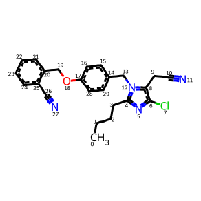 CCCCc1nc(Cl)c(CC#N)n1Cc1ccc(OCc2ccccc2C#N)cc1